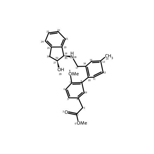 COC(=O)Cc1ccc(OC)c(-c2ccc(C)cc2CN[C@@H]2c3ccccc3C[C@@H]2O)c1